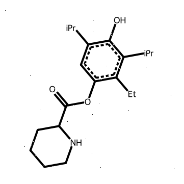 CCc1c(OC(=O)C2CCCCN2)cc(C(C)C)c(O)c1C(C)C